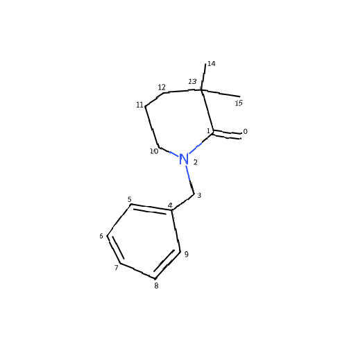 C=C1N(Cc2ccccc2)CCCC1(C)C